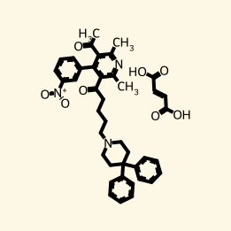 CC(=O)c1c(C)nc(C)c(C(=O)CCCCN2CCC(c3ccccc3)(c3ccccc3)CC2)c1-c1cccc([N+](=O)[O-])c1.O=C(O)C=CC(=O)O